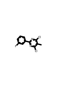 Cc1c(Cl)nc(-c2cccc(F)c2)nc1Cl